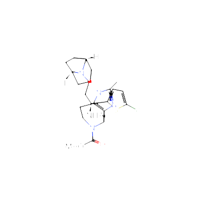 COC(=O)N1CCc2c(nc(C)n2[C@H]2C[C@H]3CC[C@@H](C2)N3CC[C@H](NC(C)=O)c2ccc(Cl)s2)C1